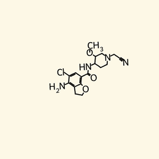 COC1CN(CC#N)CCC1NC(=O)c1cc(Cl)c(N)c2c1OCC2